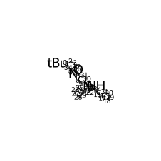 CC(C)(C)c1ccc2oc(-c3ccc(N4NC(C=Cc5ccccc5)=CC4c4ccccc4)cc3)nc2c1